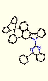 c1ccc(-c2nc(-n3c4ccccc4c4c5cccc6c5c(cc43)-c3ccccc3C63c4ccccc4-c4ccccc43)nc3ccccc23)cc1